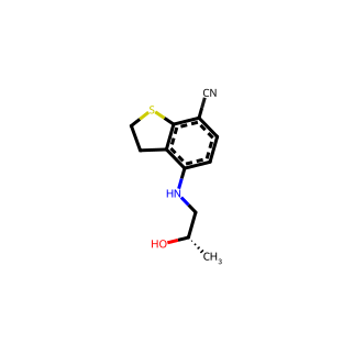 C[C@H](O)CNc1ccc(C#N)c2c1CCS2